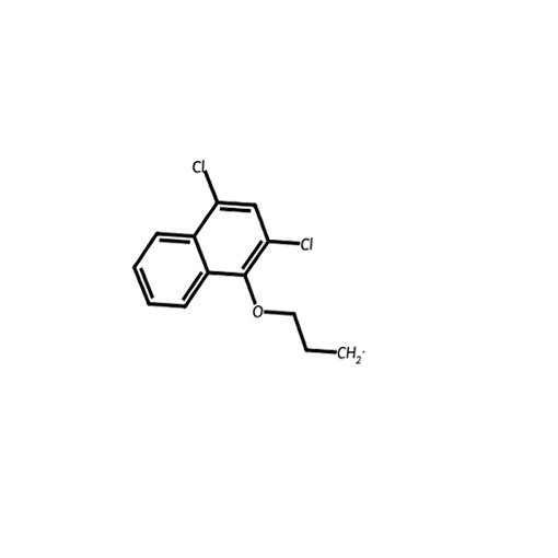 [CH2]CCOc1c(Cl)cc(Cl)c2ccccc12